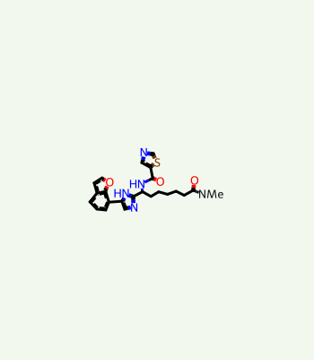 CNC(=O)CCCCCC(NC(=O)c1cncs1)c1ncc(-c2cccc3ccoc23)[nH]1